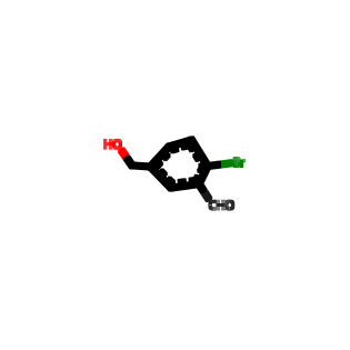 O=Cc1cc(CO)ccc1Br